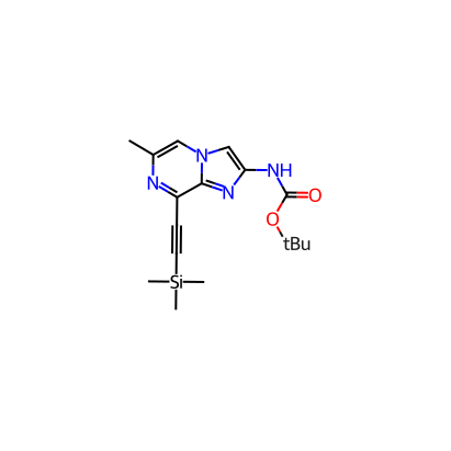 Cc1cn2cc(NC(=O)OC(C)(C)C)nc2c(C#C[Si](C)(C)C)n1